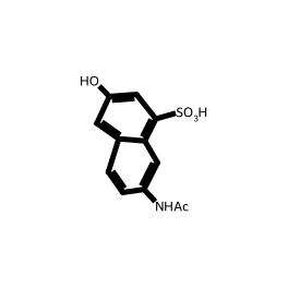 CC(=O)Nc1ccc2cc(O)cc(S(=O)(=O)O)c2c1